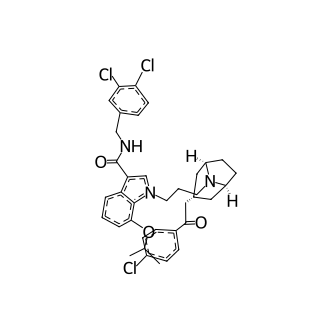 CC(C)Oc1cccc2c(C(=O)NCc3ccc(Cl)c(Cl)c3)cn(CCCN3[C@@H]4CC[C@H]3C[C@H](CC(=O)c3ccc(Cl)cc3)C4)c12